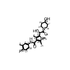 Cc1cc(NC(=O)c2c(C)c(C(O)C(=O)N3CCC(O)CC3)n(C)c2C)ccc1F